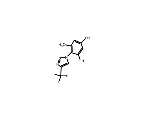 Cc1cc(O)cc(C)c1-n1cc(C(F)(F)F)nn1